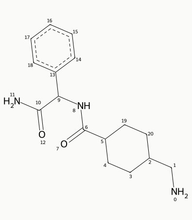 NCC1CCC(C(=O)NC(C(N)=O)c2ccccc2)CC1